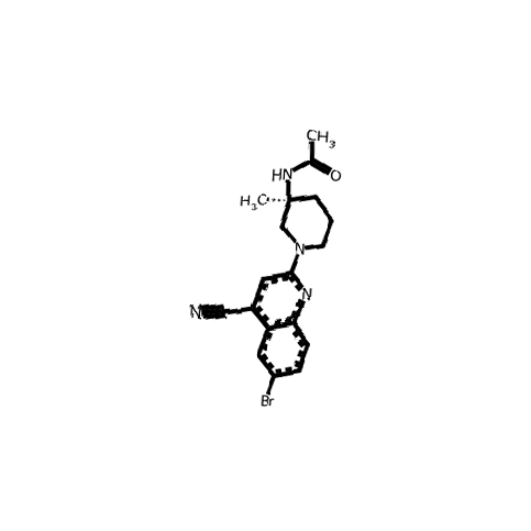 CC(=O)N[C@@]1(C)CCCN(c2cc(C#N)c3cc(Br)ccc3n2)C1